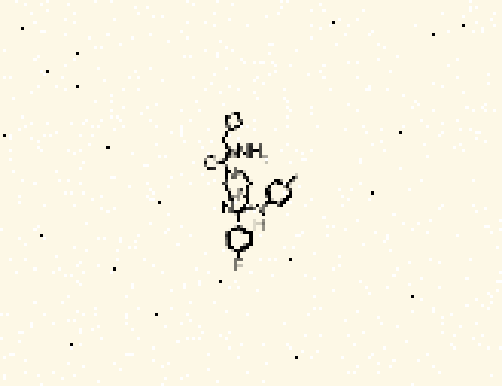 Cc1ccc(Nc2c(-c3ccc(F)cc3)nc3n2CCN(C(=O)[C@@H](N)CC2CCC2)C3)cc1